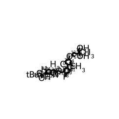 Cc1cc(O[C@H]2C[C@@H]([C@@](C)(O)CO)C2)cc(C)c1-c1cc(COc2cc3c(cn2)[C@H]2[C@@H](C3)[C@@H]2C(=O)OC(C)(C)C)c(F)cc1F